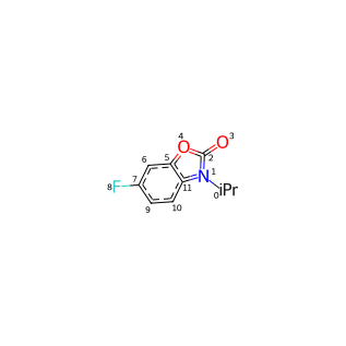 CC(C)n1c(=O)oc2cc(F)ccc21